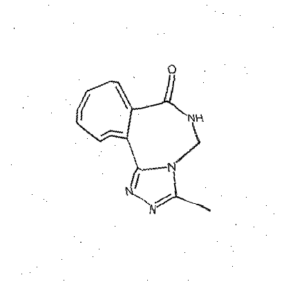 Cc1nnc2n1CNC(=O)c1ccccc1-2